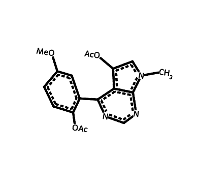 COc1ccc(OC(C)=O)c(-c2ncnc3c2c(OC(C)=O)cn3C)c1